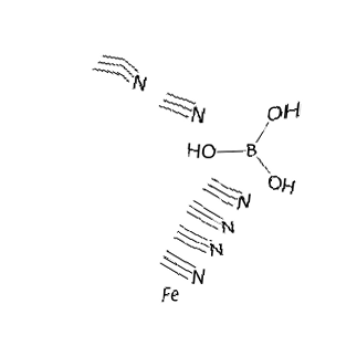 C#N.C#N.C#N.C#N.C#N.C#N.OB(O)O.[Fe]